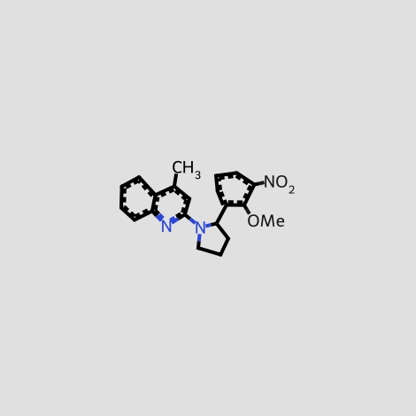 COc1c(C2CCCN2c2cc(C)c3ccccc3n2)cccc1[N+](=O)[O-]